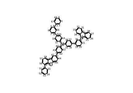 c1ccc(-c2cccc(-c3ccc(N(c4ccc(-c5cccc(-n6c7ccccc7c7ccccc76)c5)cc4)c4ccc(-c5ccc6oc7c(-c8ccccc8)cccc7c6c5)cc4)cc3)c2)cc1